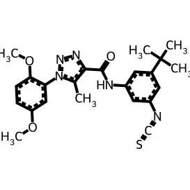 COc1ccc(OC)c(-n2nnc(C(=O)Nc3cc(N=C=S)cc(C(C)(C)C)c3)c2C)c1